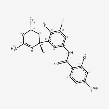 COc1cnc(C(=O)Nc2cc(F)c(F)c([C@@]3(C)C[C@@H](C(F)(F)F)OC(N)=N3)c2)c(Cl)c1